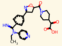 CCN(C(=N)c1ccc(C2=NOC(C(=O)N3CCC(C(=O)C(=O)O)CC3)C2)cc1)c1ccncc1